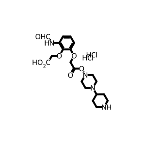 Cl.Cl.O=CNc1cccc(OCC(=O)ON2CCN(C3CCNCC3)CC2)c1OCC(=O)O